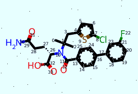 CC(C)(Cc1ccc(Cl)s1)N(C(=O)c1ccc(-c2cccc(F)c2)cc1)[C@@H](CCC(N)=O)C(=O)O